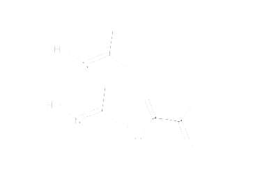 CCC(C)=NO.CCC(C)=NO.O=C(O)C(=O)O